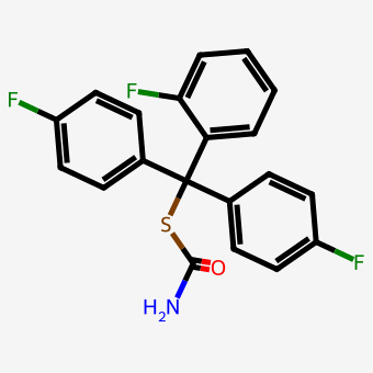 NC(=O)SC(c1ccc(F)cc1)(c1ccc(F)cc1)c1ccccc1F